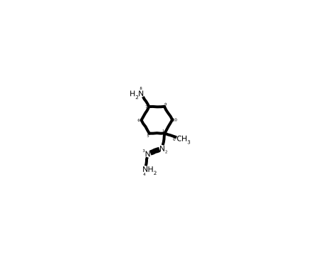 CC1(N=NN)CCC(N)CC1